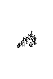 CC(NC(=O)Cn1cnnn1)[C@H]1C(=O)N2C(C(=O)O)=C(S[C@@H]3CN[C@H](C(=O)N4CCC(Nc5ncccn5)CC4)C3)[C@H](C)[C@H]12